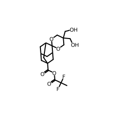 CC(F)(F)C(=O)OC(=O)C12CC3CC(C1)C1(OCC(CO)(CO)CO1)C(C3)C2